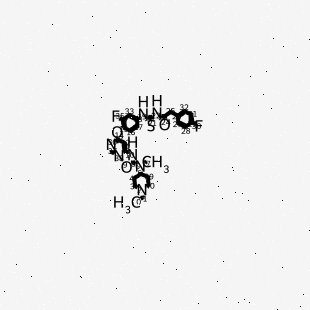 CCN1CCC(N(C)C(=O)Nc2cc(Oc3ccc(NC(=S)NC(=O)Cc4ccc(F)cc4)cc3F)ncn2)CC1